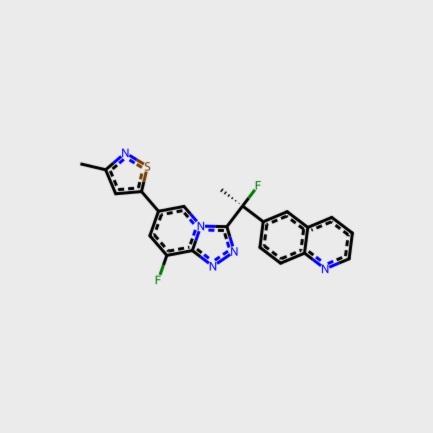 Cc1cc(-c2cc(F)c3nnc([C@@](C)(F)c4ccc5ncccc5c4)n3c2)sn1